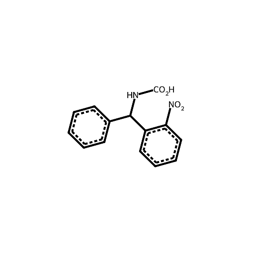 O=C(O)NC(c1ccccc1)c1ccccc1[N+](=O)[O-]